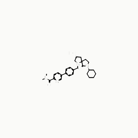 CN(C)C(=O)c1ccc(-c2ccc(CN3C[C@H](O)CC34CCN(C3CCCCC3)C4=O)cc2)cn1